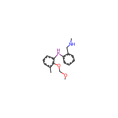 CNCc1ccccc1Pc1cccc(C)c1OCOC